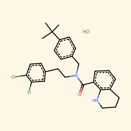 CC(C)(C)c1ccc(CN(CCc2ccc(Cl)c(Cl)c2)C(=O)c2cccc3c2NCCC3)cc1.Cl